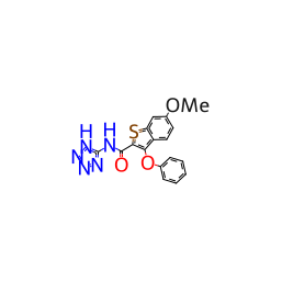 COc1ccc2c(Oc3ccccc3)c(C(=O)Nc3nnn[nH]3)sc2c1